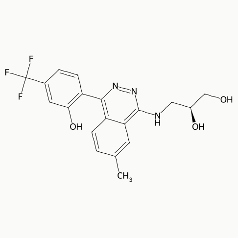 Cc1ccc2c(-c3ccc(C(F)(F)F)cc3O)nnc(NC[C@H](O)CO)c2c1